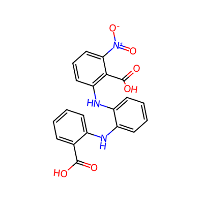 O=C(O)c1ccccc1Nc1ccccc1Nc1cccc([N+](=O)[O-])c1C(=O)O